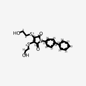 O=C1C(SCCO)=C(SCCO)C(=O)N1c1ccc(-c2ccccc2)cc1